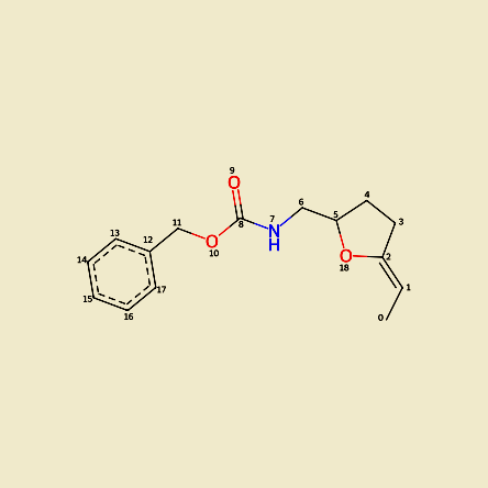 C/C=C1/CCC(CNC(=O)OCc2ccccc2)O1